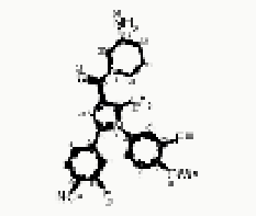 COc1ccc(-n2c(-c3ccc(C#N)c(F)c3)nc(C(=O)N3CCC[C@@H](N)C3)c2C(F)(F)F)cc1F